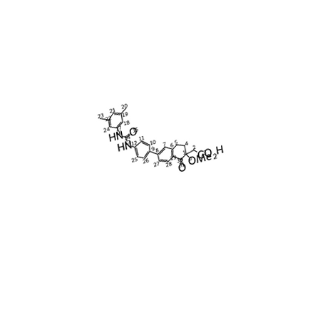 COC1(CC(=O)O)CCc2cc(-c3ccc(NC(=O)Nc4cc(C)cc(C)c4)cc3)ccc2C1=O